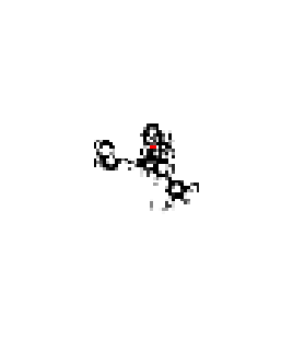 C[C@@H]1Oc2nc(-c3cc(N)c(F)c(Cl)c3)c(F)c3nc(OC[C@@H]4CC[C@H]5COCCN54)nc(c23)N2C[C@H]3CC[C@@H]([C@@H]12)N3C(=O)OC(C)(C)C